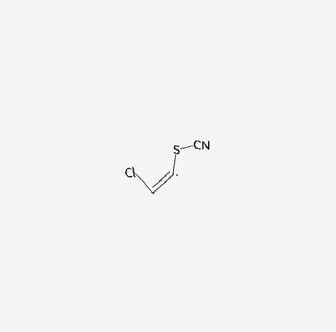 N#CS/[C]=C\Cl